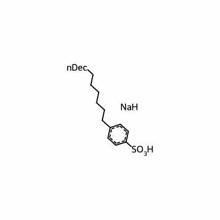 CCCCCCCCCCCCCCCCc1ccc(S(=O)(=O)O)cc1.[NaH]